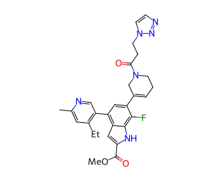 CCc1cc(C)ncc1-c1cc(C2=CCCN(C(=O)CCn3ccnn3)C2)c(F)c2[nH]c(C(=O)OC)cc12